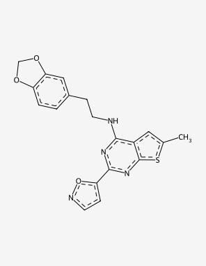 Cc1cc2c(NCCc3ccc4c(c3)OCO4)nc(-c3ccno3)nc2s1